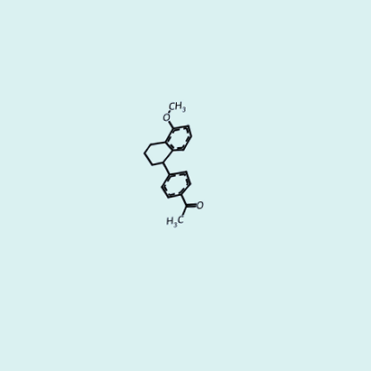 COc1cccc2c1CCCC2c1ccc(C(C)=O)cc1